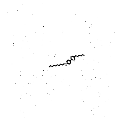 CCCCCCCCCCOc1ccc(-c2ncc(CCCCCC)cn2)cc1